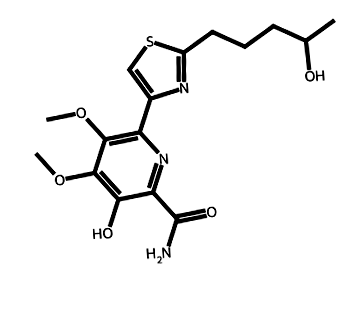 COc1c(-c2csc(CCCC(C)O)n2)nc(C(N)=O)c(O)c1OC